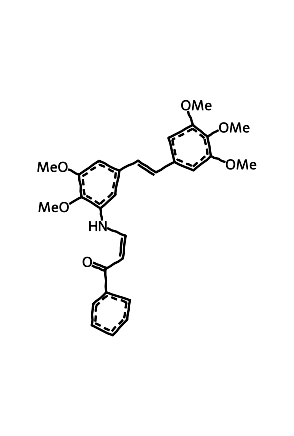 COc1cc(C=Cc2cc(OC)c(OC)c(OC)c2)cc(N/C=C\C(=O)c2ccccc2)c1OC